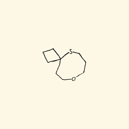 C1COCCC2(CCC2)SC1